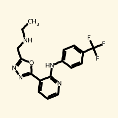 CCNCc1nnc(-c2cccnc2Nc2ccc(C(F)(F)F)cc2)o1